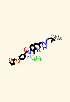 COC(C)(C)CNCc1cnc2c(C)c(NC(=O)c3ccc(OCC4CCCO4)cc3)ccc2c1.Cl